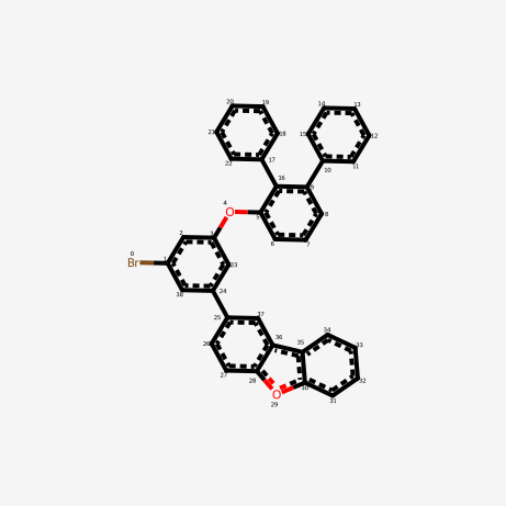 Brc1cc(Oc2cccc(-c3ccccc3)c2-c2ccccc2)cc(-c2ccc3oc4ccccc4c3c2)c1